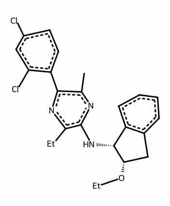 CCO[C@H]1Cc2ccccc2[C@H]1Nc1nc(C)c(-c2ccc(Cl)cc2Cl)nc1CC